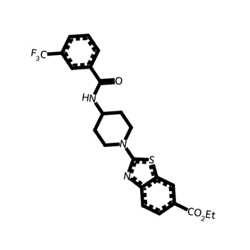 CCOC(=O)c1ccc2nc(N3CCC(NC(=O)c4cccc(C(F)(F)F)c4)CC3)sc2c1